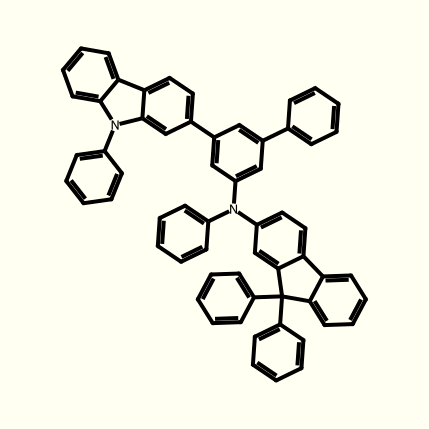 c1ccc(-c2cc(-c3ccc4c5ccccc5n(-c5ccccc5)c4c3)cc(N(c3ccccc3)c3ccc4c(c3)C(c3ccccc3)(c3ccccc3)c3ccccc3-4)c2)cc1